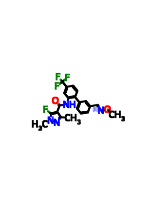 CO/N=C/c1cccc(-c2ccc(C(F)(F)F)cc2NC(=O)c2c(C)nn(C)c2F)c1